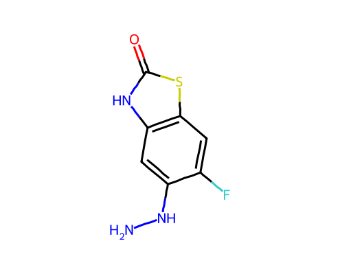 NNc1cc2[nH]c(=O)sc2cc1F